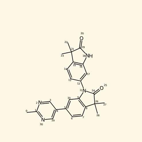 Cc1ncc(-c2ccc3c(c2)N(c2ccc4c(c2)NC(=O)C4(C)C)C(=O)C3(C)C)cn1